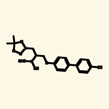 CC1(C)OON(CC(COc2ccc(-c3ccc(C#N)cc3)cc2)N(O)C=O)O1